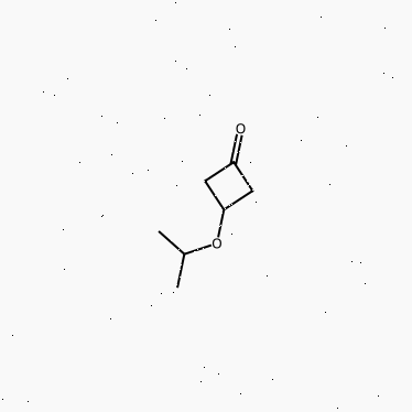 CC(C)OC1CC(=O)C1